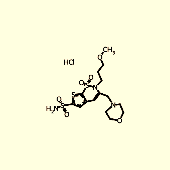 COCCCN1C(CN2CCOCC2)=Cc2cc(S(N)(=O)=O)sc2S1(=O)=O.Cl